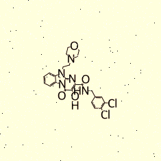 O=C(NCc1ccc(Cl)c(Cl)c1)c1nc2n(CCN3CCOCC3)c3ccccc3n2c(=O)c1O